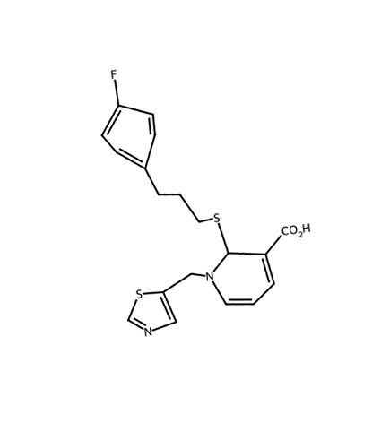 O=C(O)C1=CC=CN(Cc2cncs2)C1SCCCc1ccc(F)cc1